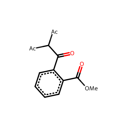 COC(=O)c1ccccc1C(=O)C(C(C)=O)C(C)=O